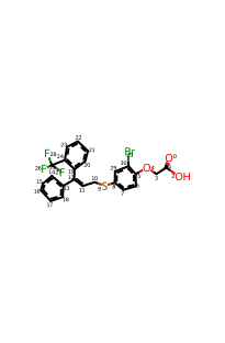 O=C(O)COc1ccc(SCC=C(c2ccccc2)c2ccccc2C(F)(F)F)cc1Br